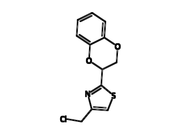 ClCc1csc(C2COc3ccccc3O2)n1